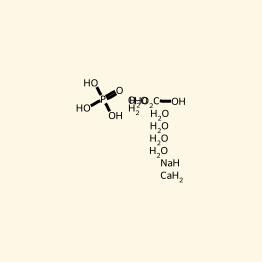 O.O.O.O.O.O.O=C(O)O.O=P(O)(O)O.[CaH2].[NaH]